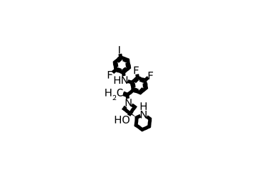 C=C(c1ccc(F)c(F)c1Nc1ccc(I)cc1F)N1CC(O)([C@H]2CCCCN2)C1